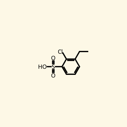 CCc1cccc(S(=O)(=O)O)c1Cl